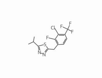 CC(C)c1nnc(Cc2ccc(C(F)(F)F)c(Cl)c2F)s1